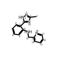 Cc1n[nH]c(-c2ccccc2NCc2ccccn2)n1